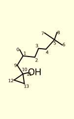 CC(CCCC(C)(C)C)CC1(O)CC1